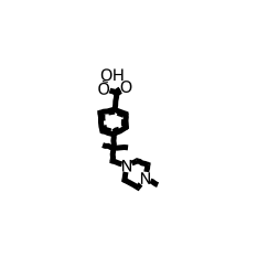 CN1CCN(CC(C)(C)c2ccc(C(=O)OO)cc2)CC1